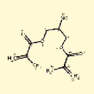 C=C(C)C(=O)OCC(COC(=O)C(=C)C)N=O